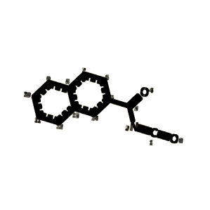 O=C=NC(=O)c1ccc2ccccc2c1